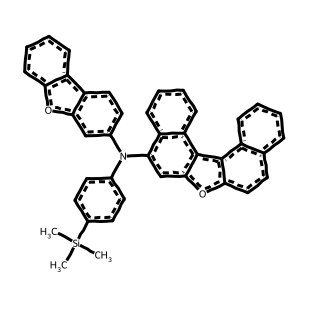 C[Si](C)(C)c1ccc(N(c2ccc3c(c2)oc2ccccc23)c2cc3oc4ccc5ccccc5c4c3c3ccccc23)cc1